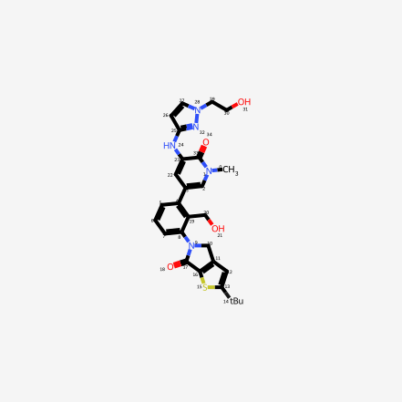 Cn1cc(-c2cccc(N3Cc4cc(C(C)(C)C)sc4C3=O)c2CO)cc(Nc2ccn(CCO)n2)c1=O